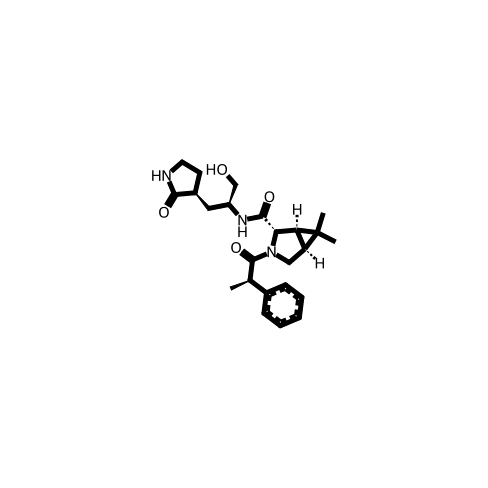 C[C@@H](C(=O)N1C[C@H]2[C@@H]([C@H]1C(=O)N[C@H](CO)C[C@@H]1CCNC1=O)C2(C)C)c1ccccc1